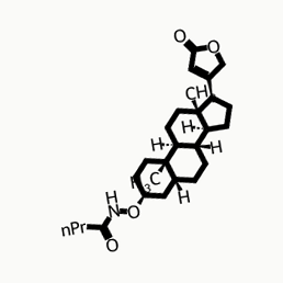 CCCC(=O)NO[C@H]1CC[C@@]2(C)[C@H](CC[C@@H]3[C@@H]2CC[C@]2(C)[C@@H](C4=CC(=O)OC4)CC[C@@H]32)C1